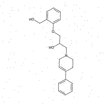 OCc1ccccc1OCC(O)CN1CC=C(c2ccccc2)CC1